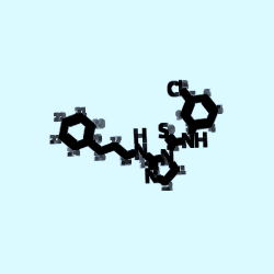 S=C(Nc1cccc(Cl)c1)N1CCN=C1NCCCc1ccccc1